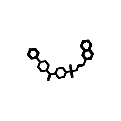 O=C(C1CCN(c2ccncc2)CC1)N1CCC(S(=O)(=O)CC=Cc2ccc3ccccc3c2)CC1